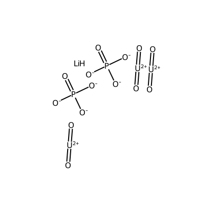 O=P([O-])([O-])[O-].O=P([O-])([O-])[O-].[LiH].[O]=[U+2]=[O].[O]=[U+2]=[O].[O]=[U+2]=[O]